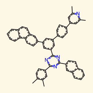 Cc1cc(-c2ccc(-c3cc(-c4ccc5c(ccc6ccccc65)c4)cc(-c4nc(-c5ccc(C)c(C)c5)nc(-c5ccc6ccccc6c5)n4)c3)cc2)cc(C)n1